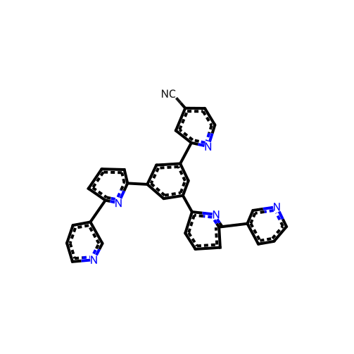 N#Cc1ccnc(-c2cc(-c3cccc(-c4cccnc4)n3)cc(-c3cccc(-c4cccnc4)n3)c2)c1